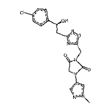 Cn1cc(N2CC(=O)N(Cc3nc(C[C@H](O)c4ccc(Cl)cc4)no3)C2=O)cn1